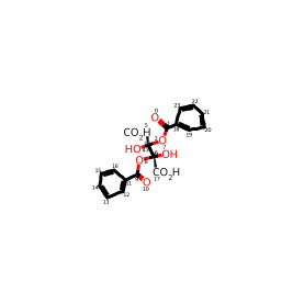 O=C(O[C@](O)(C(=O)O)[C@](O)(OC(=O)c1ccccc1)C(=O)O)c1ccccc1